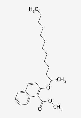 CCCCCCCCCCCC(C)Oc1ccc2ccccc2c1C(=O)OC